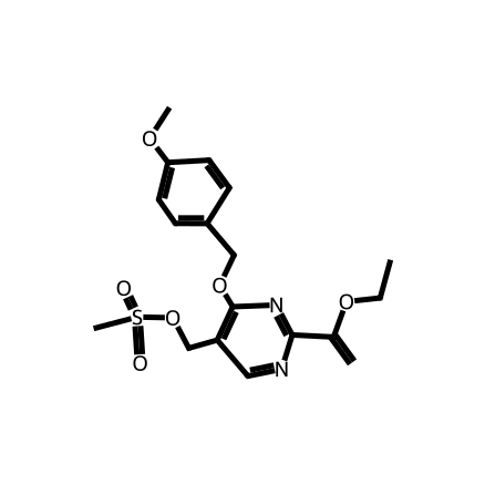 C=C(OCC)c1ncc(COS(C)(=O)=O)c(OCc2ccc(OC)cc2)n1